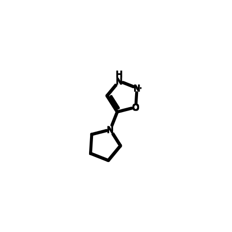 C1=C(N2CCCC2)O[N]N1